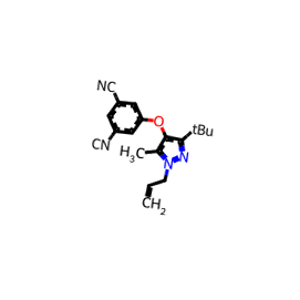 [C-]#[N+]c1cc(C#N)cc(Oc2c(C(C)(C)C)nn(CC=C)c2C)c1